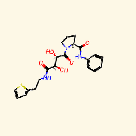 O=C(NCCc1cccs1)[C@H](O)[C@@H](O)C(=O)N1CCC[C@H]1C(=O)Nc1ccccc1